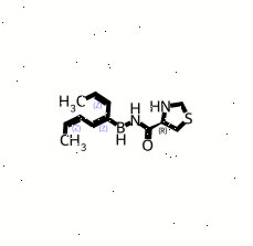 C\C=C/C=C(BNC(=O)[C@@H]1CSCN1)\C=C/C